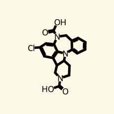 O=C(O)N1CCC2C(C1)c1cc(Cl)cc3c1N2c1ccccc1CN3C(=O)O